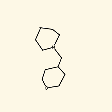 [CH]1CCN(CC2CCOCC2)CC1